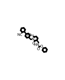 CCCCc1ccc(CNC(=O)Oc2ccccc2)c(=O)n1Cc1ccc(-c2ccccc2C#N)cc1